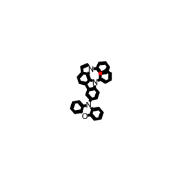 c1ccc(-n2ccc3ccc4c5cc(N6c7ccccc7Oc7ccccc76)ccc5n(-c5ccccc5)c4c32)cc1